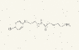 NCCCCC(=O)NOCCOc1ccc(Cl)cc1